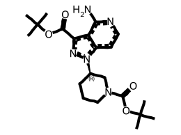 CC(C)(C)OC(=O)c1nn([C@@H]2CCCN(C(=O)OC(C)(C)C)C2)c2ccnc(N)c12